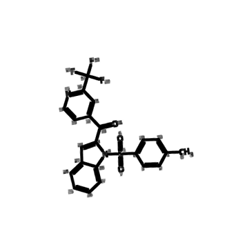 Cc1ccc(S(=O)(=O)n2c(C(=O)c3ccnc(C(F)(F)F)c3)cc3ccccc32)cc1